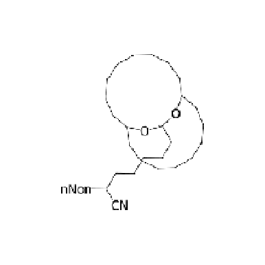 [CH2]CCCCCCCCC(C#N)CCCCC[C]1OC2CCCCCCCCC(CCCCCCCC2)O1